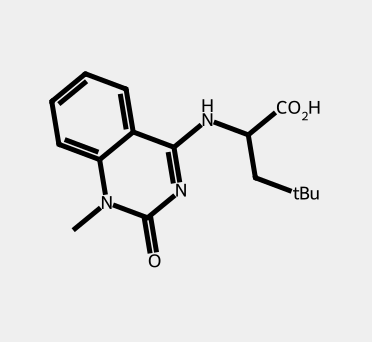 Cn1c(=O)nc(NC(CC(C)(C)C)C(=O)O)c2ccccc21